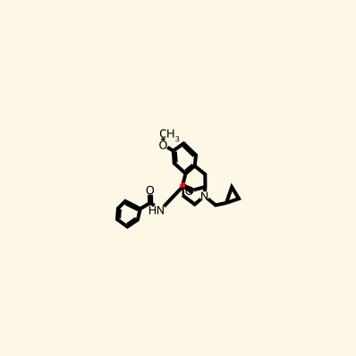 COc1ccc2c(c1)[C@]13CCN(CC4CC4)C(C2)C1OCC(NC(=O)c1ccccc1)C3